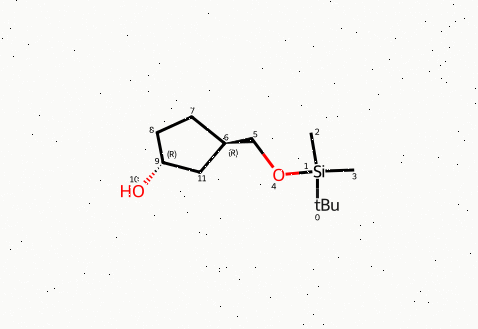 CC(C)(C)[Si](C)(C)OC[C@@H]1CC[C@@H](O)C1